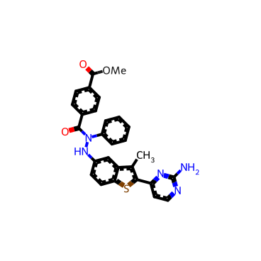 COC(=O)c1ccc(C(=O)N(Nc2ccc3sc(-c4ccnc(N)n4)c(C)c3c2)c2ccccc2)cc1